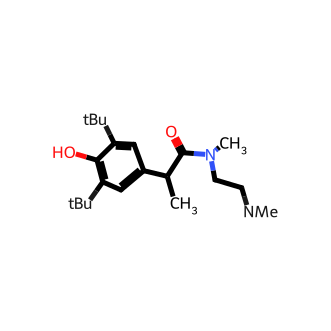 CNCCN(C)C(=O)C(C)c1cc(C(C)(C)C)c(O)c(C(C)(C)C)c1